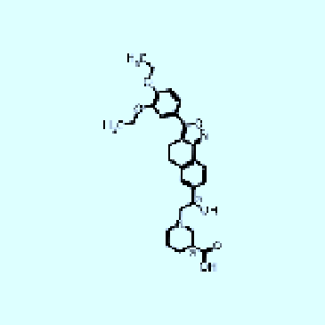 CCOc1ccc(-c2onc3c2CCc2cc([C@@H](O)CN4CCC[C@H](C(=O)O)C4)ccc2-3)cc1OCC